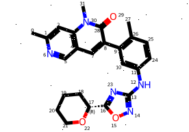 Cc1cc2c(cn1)cc(-c1cc(Nc3noc([C@H]4CCCCO4)n3)ccc1C)c(=O)n2C